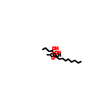 CC(=O)O.CCCC(=O)O.CCCCCCCCC(=O)O